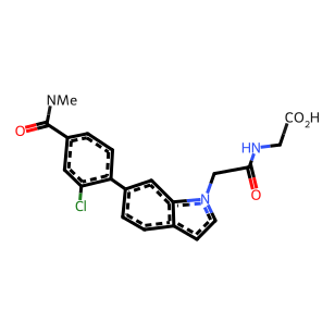 CNC(=O)c1ccc(-c2ccc3ccn(CC(=O)NCC(=O)O)c3c2)c(Cl)c1